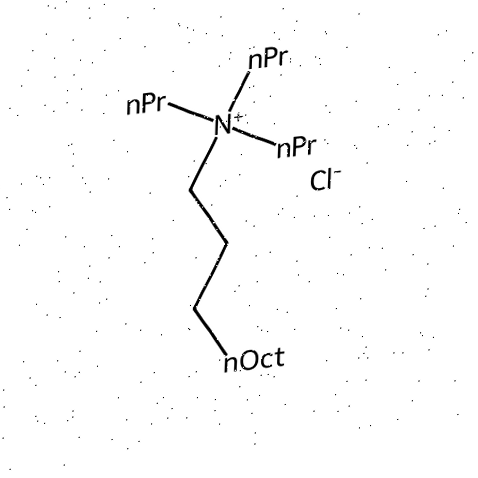 CCCCCCCCCCC[N+](CCC)(CCC)CCC.[Cl-]